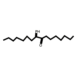 CCCCCCCC(=O)C(=P)CCCCCCC